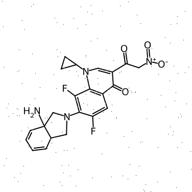 NC12C=CC=CC1CN(c1c(F)cc3c(=O)c(C(=O)C[N+](=O)[O-])cn(C4CC4)c3c1F)C2